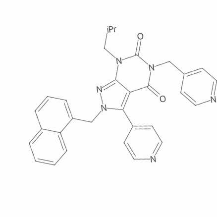 CC(C)Cn1c(=O)n(Cc2ccncc2)c(=O)c2c(-c3ccncc3)n(Cc3cccc4ccccc34)nc21